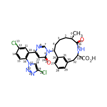 C[C@@H]1CCC[C@H](n2cnc(-c3cc(Cl)ccc3-n3cc(Cl)nn3)cc2=O)c2cccc(c2)C[C@H](C(=O)O)NC1=O